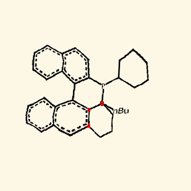 CCCCOc1ccc2ccccc2c1-c1c(P(C2CCCCC2)C2CCCCC2)ccc2ccccc12